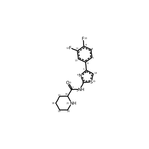 O=C(Nc1nc(-c2ccc(F)c(F)c2)cs1)C1CCCCN1